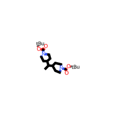 CC(C1CCN(C(=O)OC(C)(C)C)CC1)C1CCN(C(=O)OC(C)(C)C)CC1